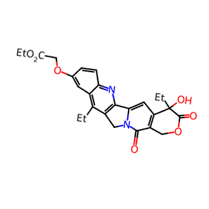 CCOC(=O)COc1ccc2nc3c(c(CC)c2c1)Cn1c-3cc2c(c1=O)COC(=O)C2(O)CC